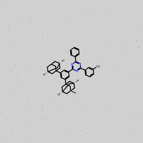 N#Cc1cccc(-c2nc(-c3ccccc3)nc(-c3cc(C45CC6C[C@H](C4)C[C@@H](C6)C5)cc(C45C[C@H]6C[C@@H](C4)C[C@@H](C5)C6)c3)n2)c1